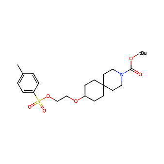 Cc1ccc(S(=O)(=O)OCCOC2CCC3(CC2)CCN(C(=O)OC(C)(C)C)CC3)cc1